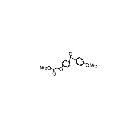 COC(=O)COc1ccc(C(=O)c2ccc(OC)cc2)cc1